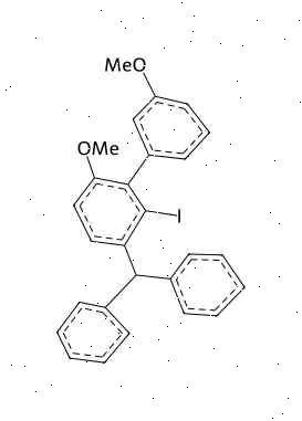 COc1cccc(-c2c(OC)ccc(C(c3ccccc3)c3ccccc3)c2I)c1